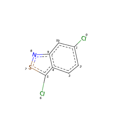 Clc1ccc2c(Cl)snc2c1